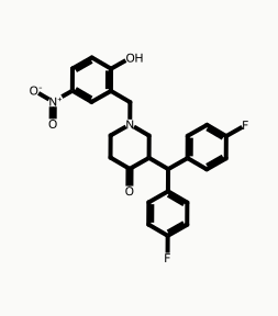 O=C1CCN(Cc2cc([N+](=O)[O-])ccc2O)CC1C(c1ccc(F)cc1)c1ccc(F)cc1